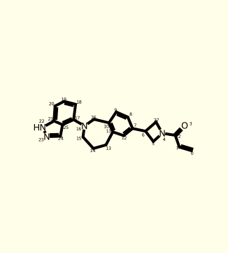 C=CC(=O)N1CC(c2ccc3c(c2)CCCN(c2cccc4[nH]ncc24)C3)C1